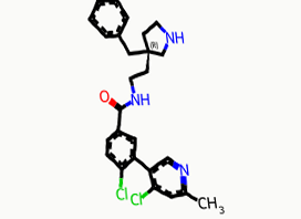 Cc1cc(Cl)c(-c2cc(C(=O)NCC[C@@]3(Cc4ccccc4)CCNC3)ccc2Cl)cn1